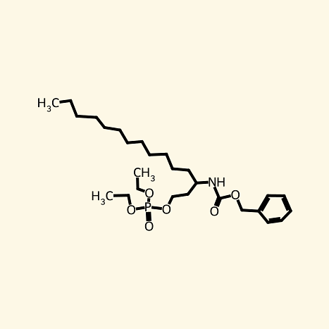 CCCCCCCCCCCCC(CCOP(=O)(OCC)OCC)NC(=O)OCc1ccccc1